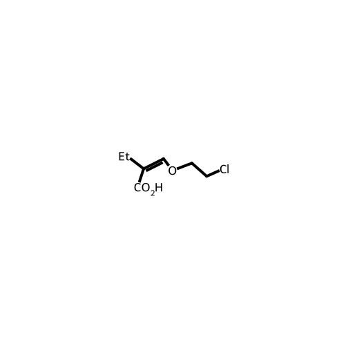 CCC(=COCCCl)C(=O)O